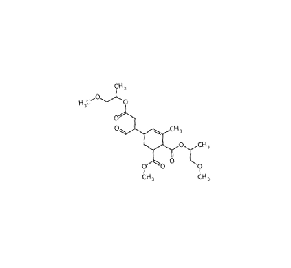 COCC(C)OC(=O)CC(C=O)C1C=C(C)C(C(=O)OC(C)COC)C(C(=O)OC)C1